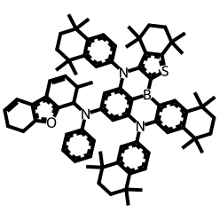 CC1C=Cc2c(oc3c2C=CCC3)C1N(c1ccccc1)c1cc2c3c(c1)N(c1ccc4c(c1)C(C)(C)CCC4(C)C)c1c(sc4c1C(C)(C)CCC4(C)C)B3c1cc3c(cc1N2c1ccc2c(c1)C(C)(C)CCC2(C)C)C(C)(C)CCC3(C)C